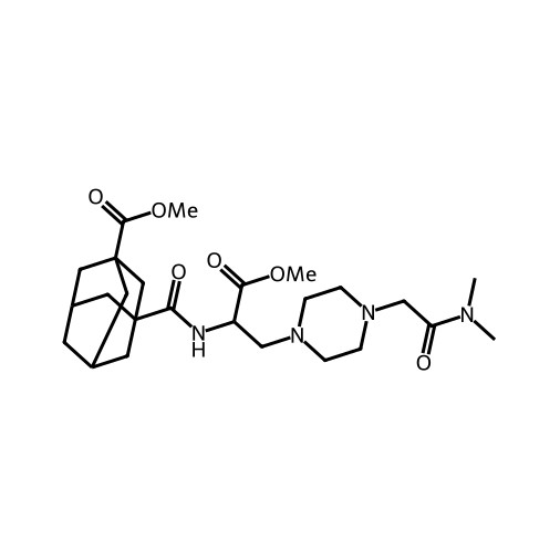 COC(=O)C(CN1CCN(CC(=O)N(C)C)CC1)NC(=O)C12CC3CC(C1)CC(C(=O)OC)(C3)C2